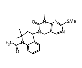 CSc1ncc2c(n1)N(C)C(=O)N(C1CC(C)(C)N(C(=O)C(F)(F)F)c3ccccc31)C2